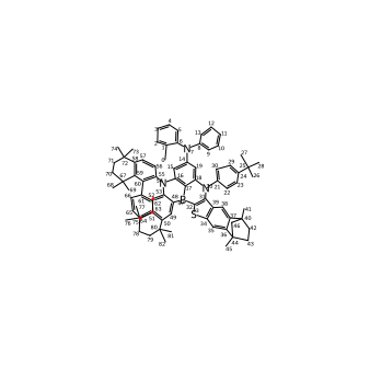 Cc1ccccc1N(c1ccccc1)c1cc2c3c(c1)N(c1ccc(C(C)(C)C)cc1)c1c(sc4cc5c(cc14)C1(C)CCC5(C)C1)B3c1cc3c(cc1N2c1ccc2c(c1-c1ccccc1)C(C)(C)CCC2(C)C)C(C)(C)CCC3(C)C